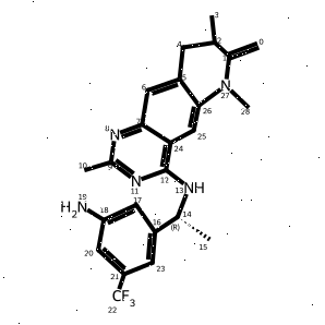 C=C1C(C)Cc2cc3nc(C)nc(N[C@H](C)c4cc(N)cc(C(F)(F)F)c4)c3cc2N1C